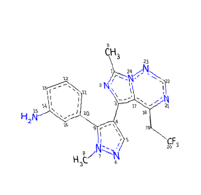 Cc1nc(-c2cnn(C)c2-c2cccc(N)c2)c2c(CC(F)(F)F)ncnn12